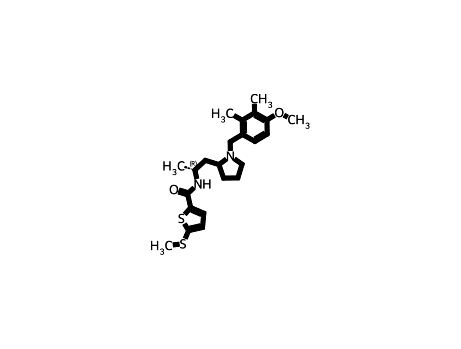 COc1ccc(CN2CCCC2C[C@@H](C)NC(=O)c2ccc(SC)s2)c(C)c1C